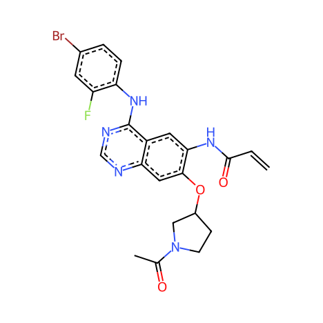 C=CC(=O)Nc1cc2c(Nc3ccc(Br)cc3F)ncnc2cc1OC1CCN(C(C)=O)C1